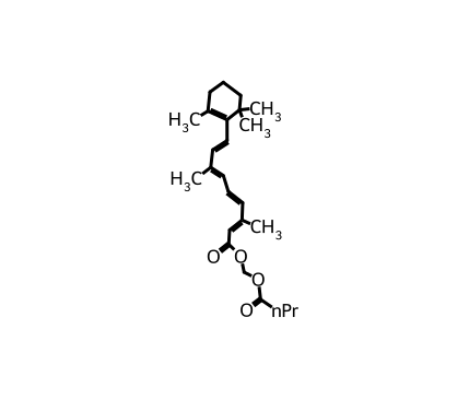 CCCC(=O)OCOC(=O)C=C(C)C=CC=C(C)C=CC1=C(C)CCCC1(C)C